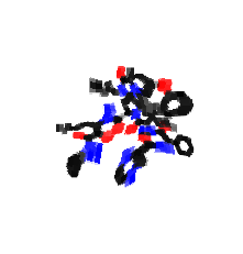 CCCC(NC(=O)[C@@H]1CC2(CN1C(=O)[C@@H](NC(=O)[C@@H](NC(=O)c1cnccn1)C1CCCCC1)C(C)(C)C)N(CC)C(=O)[C@@H]1C[C@H](Oc3ccccc3)CN12)C(=O)C(=O)NC1CC1